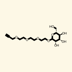 C#CCOCCOCCOCCOC1O[C@H](CO)[C@@H](O)[C@H](O)[C@@H]1O